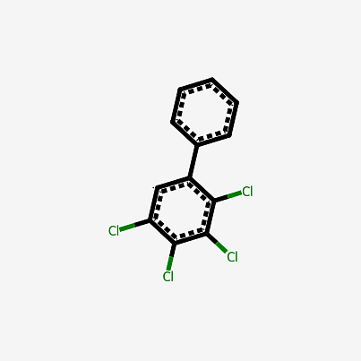 Clc1[c]c(-c2ccccc2)c(Cl)c(Cl)c1Cl